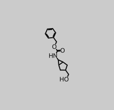 O=C(NC1C2CC(CO)CC21)OCc1ccccc1